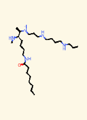 C=C(NCCCNCCCCNCCC)[C@@H](CCCCNC(=O)CCCCCCC)NC